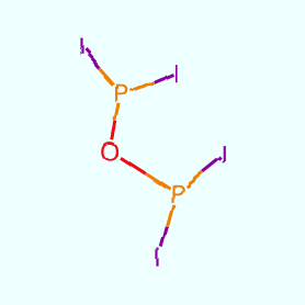 IP(I)OP(I)I